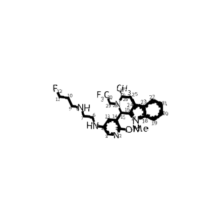 COc1ncc(NCCNCCCF)cc1C1c2[nH]c3ccccc3c2C[C@@H](C)N1CC(F)(F)F